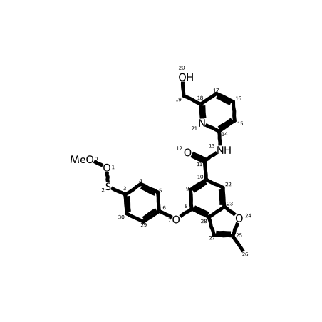 COOSc1ccc(Oc2cc(C(=O)Nc3cccc(CO)n3)cc3oc(C)cc23)cc1